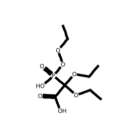 CCOOP(=O)(O)C(OCC)(OCC)C(=O)O